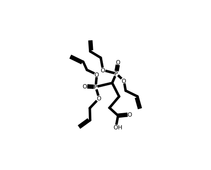 C=CCOP(=O)(OCC=C)C(CCC(=O)O)P(=O)(OCC=C)OCC=C